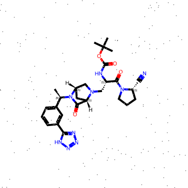 C[C@H](c1cccc(-c2nnn[nH]2)c1)N1C(=O)[C@@H]2C[C@H]1CN2C[C@H](NC(=O)OC(C)(C)C)C(=O)N1CCC[C@H]1C#N